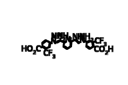 N/C(=C\N(N)c1ccc(C(=O)O)c(C(F)(F)F)c1)c1cccc(/C(N)=C/N(N)c2ccc(C(=O)O)c(C(F)(F)F)c2)n1